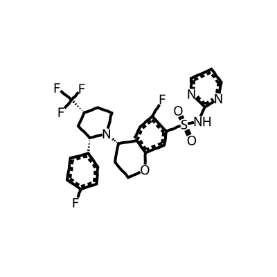 O=S(=O)(Nc1ncccn1)c1cc2c(cc1F)[C@@H](N1CC[C@@H](C(F)(F)F)C[C@H]1c1ccc(F)cc1)CCO2